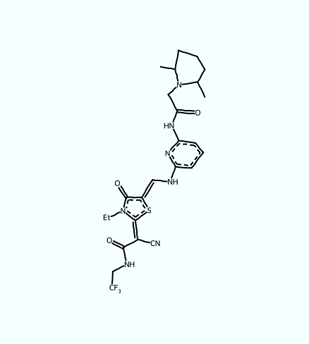 CCn1c(=C(C#N)C(=O)NCC(F)(F)F)sc(=CNc2cccc(NC(=O)CN3C(C)CCCC3C)n2)c1=O